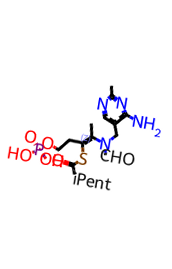 CCCC(C)C(=O)S/C(CCOP(=O)(O)O)=C(/C)N(C=O)Cc1cnc(C)nc1N